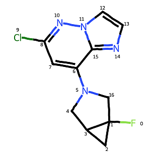 FC12CC1CN(c1cc(Cl)nn3ccnc13)C2